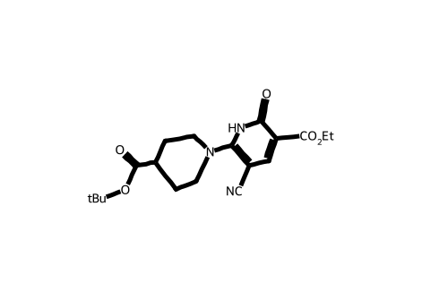 CCOC(=O)c1cc(C#N)c(N2CCC(C(=O)OC(C)(C)C)CC2)[nH]c1=O